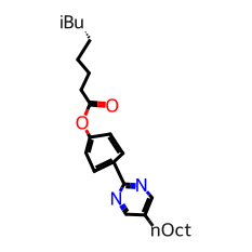 CCCCCCCCc1cnc(-c2ccc(OC(=O)CCCC[C@@H](C)CC)cc2)nc1